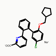 O=C([O-])c1cccc(-c2ccccc2-c2cc(Br)ccc2OCC2CCCC2)n1.[Na+]